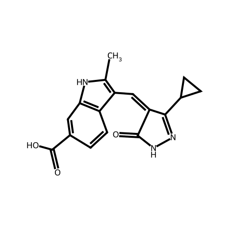 Cc1[nH]c2cc(C(=O)O)ccc2c1C=C1C(=O)NN=C1C1CC1